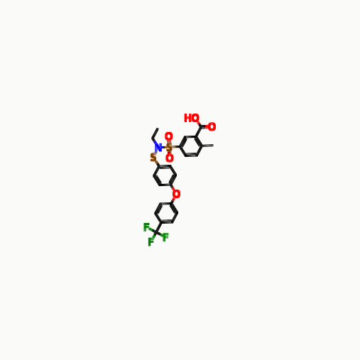 CCN(Sc1ccc(Oc2ccc(C(F)(F)F)cc2)cc1)S(=O)(=O)c1ccc(C)c(C(=O)O)c1